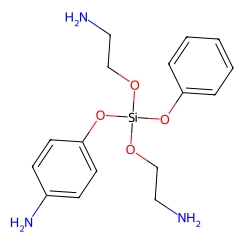 NCCO[Si](OCCN)(Oc1ccccc1)Oc1ccc(N)cc1